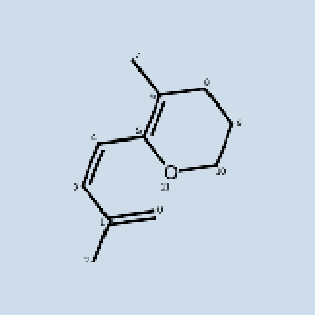 C=C(C)/C=C\C1=C(C)CCCO1